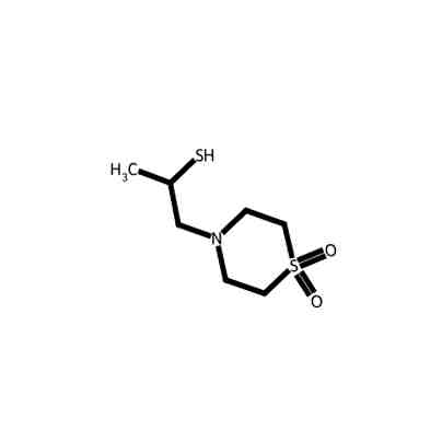 CC(S)CN1CCS(=O)(=O)CC1